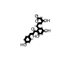 O=C(C=Cc1ccc(O)cc1)c1c(O)cc(O)cc1Cc1cc(O)cc(=O)o1